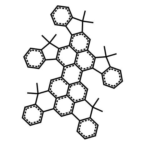 CC1(C)c2ccccc2-c2c1cc1c3c(c4c5cc6c7c(cc8c9c(cc(c%10c%11c(c2c1c4%10)C(C)(C)c1ccccc1-%11)c5c79)C(C)(C)c1ccccc1-8)-c1ccccc1C6(C)C)-c1ccccc1C3(C)C